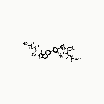 CCCOc1cc(-c2ccc3c(ccc4nc([C@@H]5CCCN5C[C@@H](NC(=O)CO)C(C)C)[nH]c43)c2)ccc1-c1cnc([C@@H]2C[Si](C)(C)CN2C(=O)[C@@H](NC(=O)OC)C(C)C)[nH]1